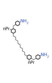 CCCc1cc(CCCCCCCCCCCc2ccc(Cc3ccc(N)cc3)c(CCC)c2)ccc1Cc1ccc(N)cc1